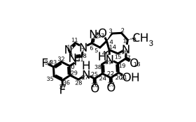 C[C@H]1CC[C@]2(CC(n3cnnc3)=NO2)[C@H]2CN1C(=O)c1c(O)c(=O)c(C(=O)NCc3c(F)cc(F)cc3F)cn12